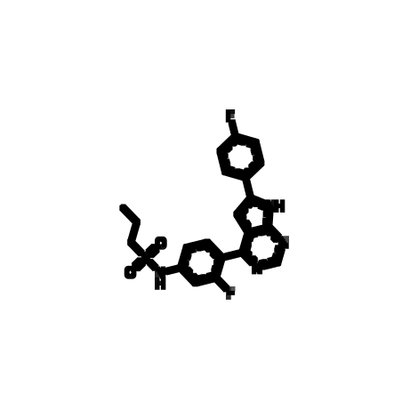 CCCS(=O)(=O)Nc1ccc(-c2ncnc3[nH]c(-c4ccc(F)cc4)cc23)c(F)c1